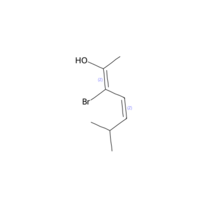 C/C(O)=C(Br)\C=C/C(C)C